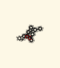 CC1(C)c2ccccc2-c2ccc(N(c3ccccc3)c3ccc4c(c3)C3(c5ccccc5-4)c4ccc(-c5ccccc5)cc4-c4ccc(N(c5ccccc5)c5ccccc5)cc43)cc21